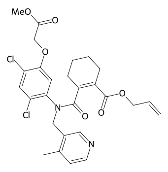 C=CCOC(=O)C1=C(C(=O)N(Cc2cnccc2C)c2cc(OCC(=O)OC)c(Cl)cc2Cl)CCCC1